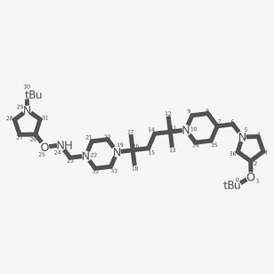 CC(C)(C)OC1CCN(CC2CCN(C(C)(C)CCC(C)(C)N3CCN(CNOC4CCN(C(C)(C)C)C4)CC3)CC2)C1